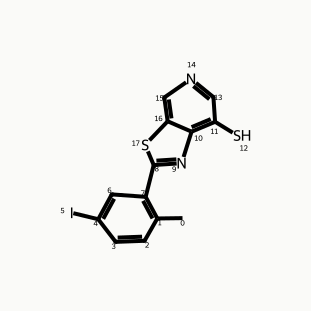 Cc1ccc(I)cc1-c1nc2c(S)cncc2s1